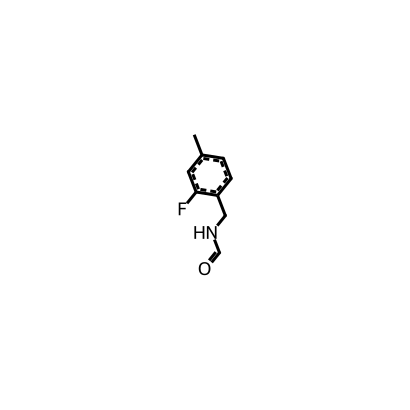 Cc1ccc(CNC=O)c(F)c1